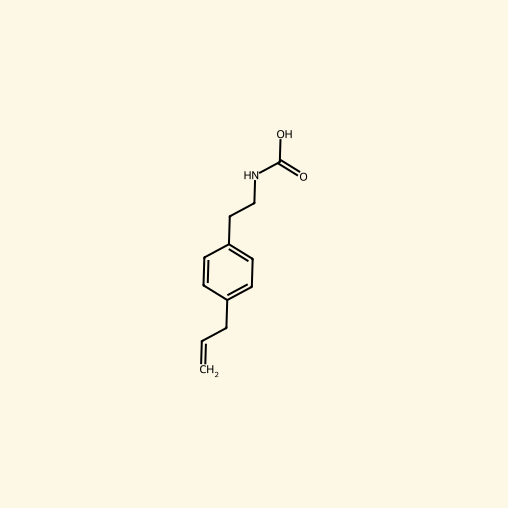 C=CCc1ccc(CCNC(=O)O)cc1